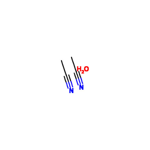 CC#N.CC#N.O